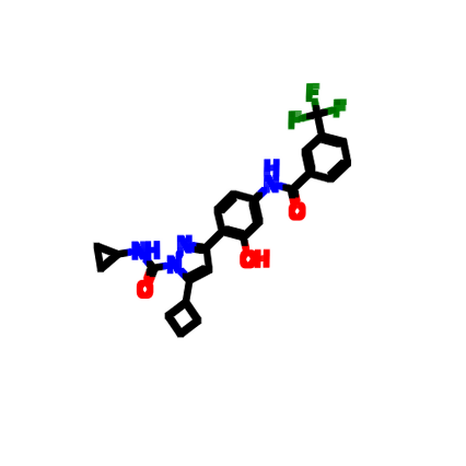 O=C(Nc1ccc(-c2cc(C3CCC3)n(C(=O)NC3CC3)n2)c(O)c1)c1cccc(C(F)(F)F)c1